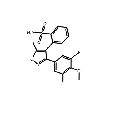 COc1c(F)cc(-c2noc(C)c2-c2ccccc2S(N)(=O)=O)cc1F